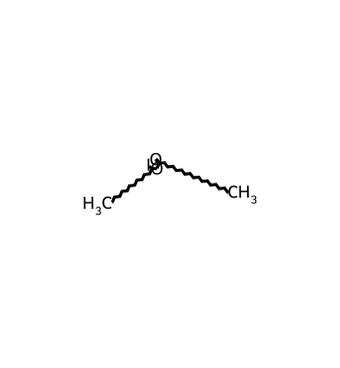 CCCCCCCCCCCCCCCCCC(=O)OC(I)CCCCCCCCCCCC